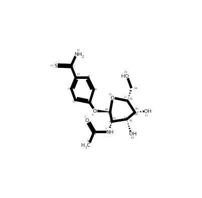 CC(=O)N[C@@H]1[C@@H](Oc2ccc(C(N)=S)cc2)O[C@H](CO)[C@H](O)[C@@H]1O